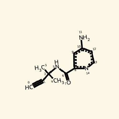 C#CC(C)(C)NC(=O)c1cc(N)ccn1